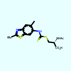 CC(=O)N[C@@H](CSC(=S)Nc1cc2sc(C(C)(C)C)nc2cc1C)C(=O)O